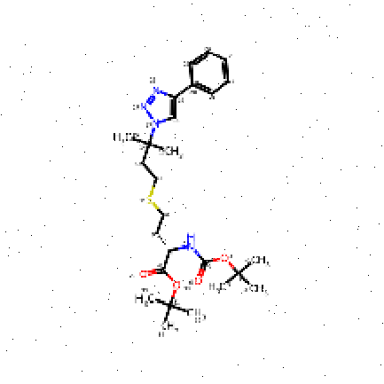 CC(C)(C)OC(=O)N[C@@H](CCSCCC(C)(C)n1cc(-c2ccccc2)nn1)C(=O)OC(C)(C)C